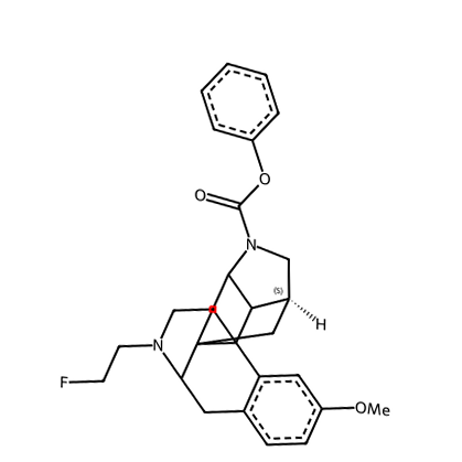 COc1ccc2c(c1)C13CCN(CCF)C(C2)C12CCC1C3[C@@H](CN1C(=O)Oc1ccccc1)C2